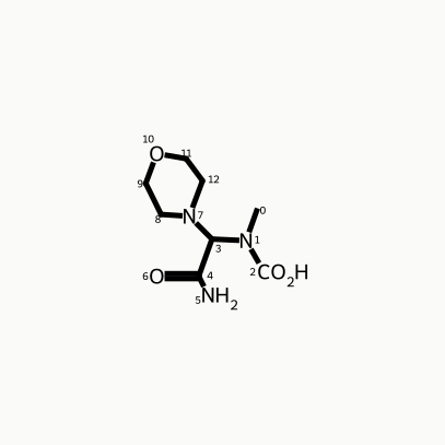 CN(C(=O)O)C(C(N)=O)N1CCOCC1